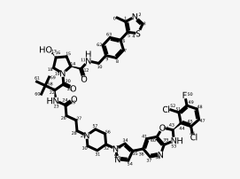 Cc1ncsc1-c1ccc(CNC(=O)[C@@H]2C[C@@H](O)CN2C(=O)[C@@H](NC(=O)CCCN2CCC(n3cc(-c4cnc5c(c4)O[C@@H](c4c(Cl)ccc(F)c4Cl)N5)cn3)CC2)C(C)(C)C)cc1